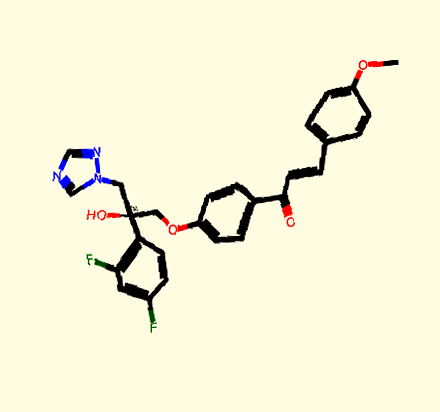 COc1ccc(C=CC(=O)c2ccc(OC[C@@](O)(Cn3cncn3)c3ccc(F)cc3F)cc2)cc1